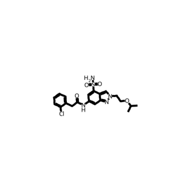 CC(C)OCCn1cc2c(S(N)(=O)=O)cc(NC(=O)Cc3ccccc3Cl)cc2n1